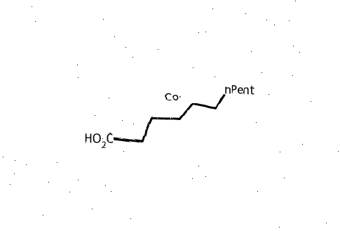 CCCCCCCCCCC(=O)O.[Co]